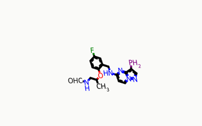 CC(CNC=O)Oc1ccc(F)cc1CNc1ccn2ncc(P)c2n1